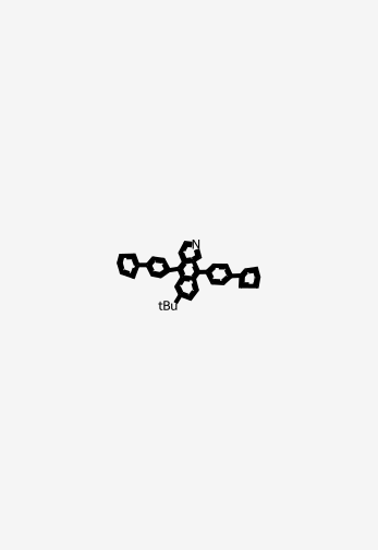 CC(C)(C)c1ccc2c(-c3ccc(-c4ccccc4)cc3)c3cnccc3c(-c3ccc(-c4ccccc4)cc3)c2c1